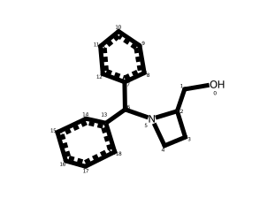 OCC1CCN1C(c1ccccc1)c1ccccc1